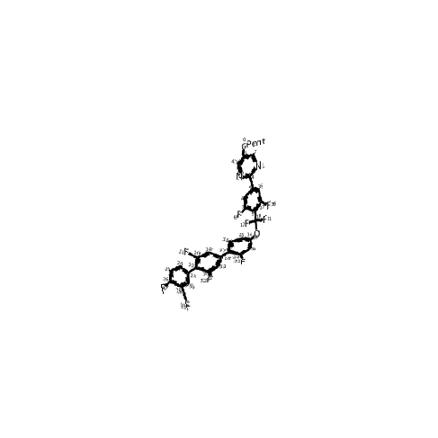 CCCCCc1cnc(-c2cc(F)c(C(F)(F)Oc3ccc(-c4cc(F)c(-c5ccc(F)c(F)c5)c(F)c4)c(F)c3)c(F)c2)nc1